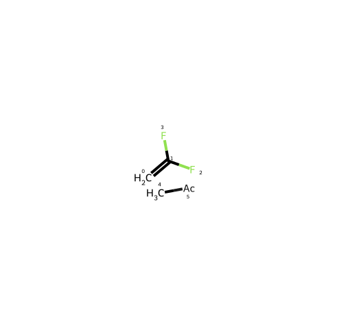 C=C(F)F.CC(C)=O